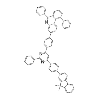 CC1(C)c2ccccc2-c2ccc(-c3ccc(-c4cc(-c5ccc(-c6ccc7c(c6)nc(-c6ccccc6)c6cccc(-c8ccccc8)c67)cc5)nc(-c5ccccc5)n4)cc3)cc21